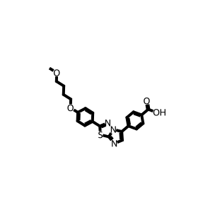 COCCCCOc1ccc(-c2nn3c(-c4ccc(C(=O)O)cc4)cnc3s2)cc1